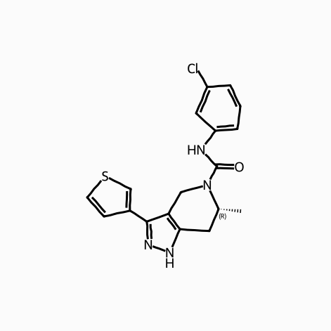 C[C@@H]1Cc2[nH]nc(-c3ccsc3)c2CN1C(=O)Nc1cccc(Cl)c1